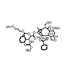 CCCSSCCOC(=O)O[C@@H](C(=O)O[C@H]1C[C@@]2(O)[C@@H](OC(=O)c3ccccc3)[C@@H]3[C@]4(OC(C)=O)CO[C@@H]4C[C@H](OC)[C@@]3(C)C(=O)[C@H](CO)C(=C1C)C2(C)C)[C@@H](NC(=O)OC(C)(C)C)c1ccccc1